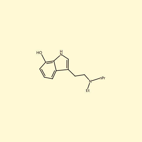 CCCN(CC)CCc1c[nH]c2c(O)cccc12